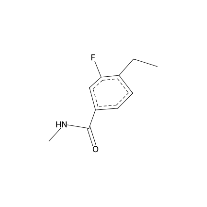 CCc1ccc(C(=O)NC)cc1F